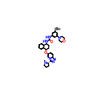 CN1CCC[C@H]1c1nnc2ccc(O[C@@H]3CCC(NC(=O)Nc4cc(N5CCOCC5)cc(C(C)(C)C)c4)c4ccccc43)cn12